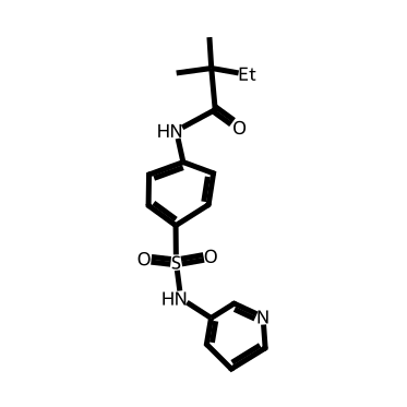 CCC(C)(C)C(=O)Nc1ccc(S(=O)(=O)Nc2cccnc2)cc1